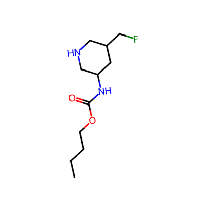 CCCCOC(=O)NC1CNCC(CF)C1